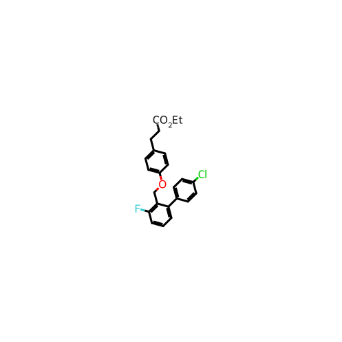 CCOC(=O)CCc1ccc(OCc2c(F)cccc2-c2ccc(Cl)cc2)cc1